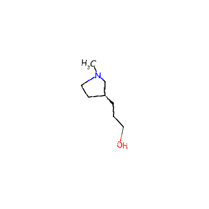 CN1CC[C@H](CCCO)C1